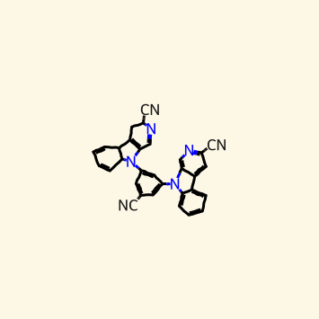 N#Cc1cc(N2C3=C(CC(C#N)N=C3)C3C=CC=CC32)cc(-n2c3ccccc3c3cc(C#N)ncc32)c1